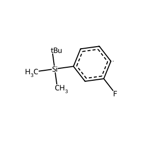 CC(C)(C)[Si](C)(C)c1cc[c]c(F)c1